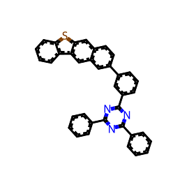 c1ccc(-c2nc(-c3ccccc3)nc(-c3cccc(-c4ccc5cc6sc7ccccc7c6cc5c4)c3)n2)cc1